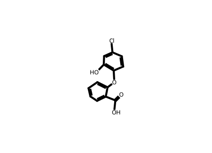 O=C(O)c1ccccc1Oc1ccc(Cl)cc1O